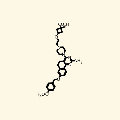 C[C@]1(C(=O)O)C[C@@H](OCCN2CCN(c3nc(N)nc4c3CCc3cc(OCc5ccc(OC(F)(F)F)cc5)ccc3-4)CC2)C1